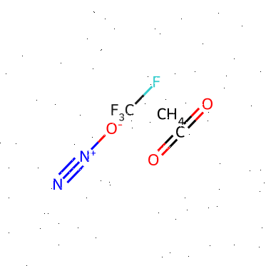 C.FC(F)(F)F.N#[N+][O-].O=C=O